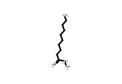 CCCCCCCCCC(=N)NO